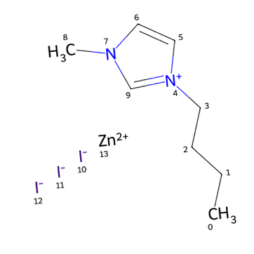 CCCC[n+]1ccn(C)c1.[I-].[I-].[I-].[Zn+2]